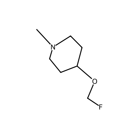 CN1CCC(OCF)CC1